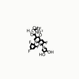 CC(C)(NC(=O)c1cn(-c2c(F)cc(F)cc2F)c2nc(N3CC(O)[C@H](O)C3)c(F)cc2c1=O)C(F)(F)F